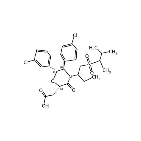 CCC(CS(=O)(=O)C(C)C(C)C)N1C(=O)[C@H](CC(=O)O)O[C@H](c2cccc(Cl)c2)[C@H]1c1ccc(Cl)cc1